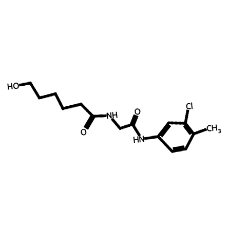 Cc1ccc(NC(=O)CNC(=O)CCCCCO)cc1Cl